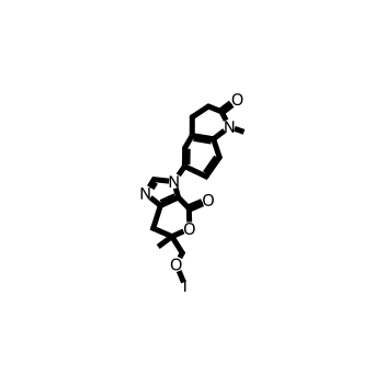 CN1C(=O)CCc2cc(-n3cnc4c3C(=O)OC(C)(COI)C4)ccc21